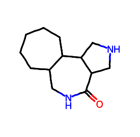 O=C1NCC2CCCCCC2C2CNCC12